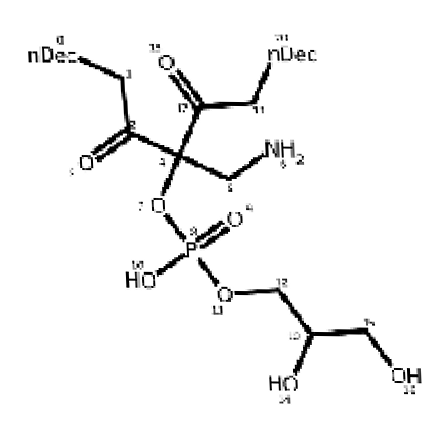 CCCCCCCCCCCC(=O)C(CN)(OP(=O)(O)OCC(O)CO)C(=O)CCCCCCCCCCC